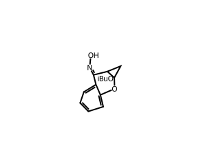 CC(C)COC12CC1C(=NO)c1ccccc1O2